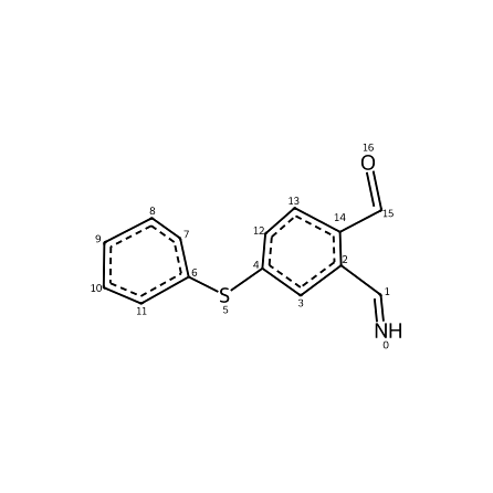 N=Cc1cc(Sc2ccccc2)ccc1C=O